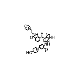 COc1cc(N2CCC(O)CC2)ccc1Nc1nc(Nc2cccc(C(=O)NCCN3CCOCC3)c2)c2nc[nH]c2n1